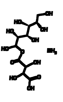 O=C(O)C(O)C(O)C(=O)OC(O)[C@H](O)[C@@H](O)[C@H](O)[C@H](O)CO.[BiH3]